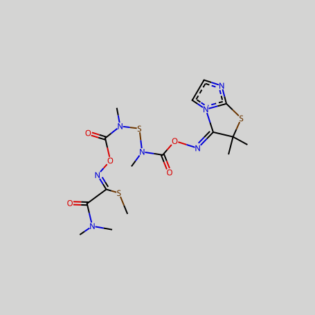 CSC(=NOC(=O)N(C)SN(C)C(=O)ON=C1n2ccnc2SC1(C)C)C(=O)N(C)C